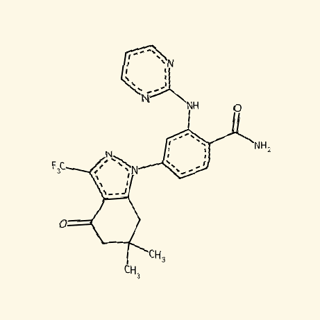 CC1(C)CC(=O)c2c(C(F)(F)F)nn(-c3ccc(C(N)=O)c(Nc4ncccn4)c3)c2C1